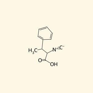 [C-]#[N+]C(C(=O)O)C(C)c1ccccc1